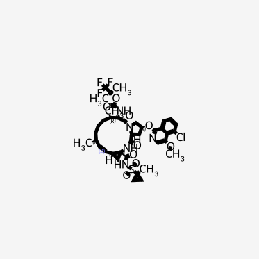 COc1cnc(O[C@@H]2C[C@H]3C(=O)N[C@]4(C(=O)NS(=O)(=O)C5(C)CC5)C[C@H]4/C=C\[C@H](C)CCC[C@@H](C)[C@H](NC(=O)OC(C)(C)C(F)(F)F)C(=O)N3C2)c2cccc(Cl)c12